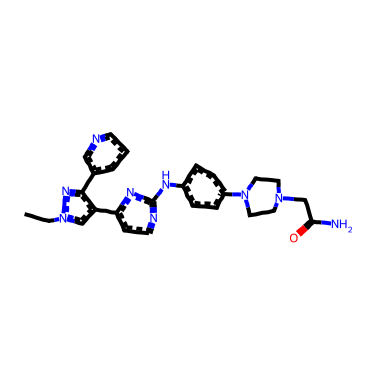 CCn1cc(-c2ccnc(Nc3ccc(N4CCN(CC(N)=O)CC4)cc3)n2)c(-c2cccnc2)n1